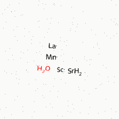 O.[La].[Mn].[Sc].[SrH2]